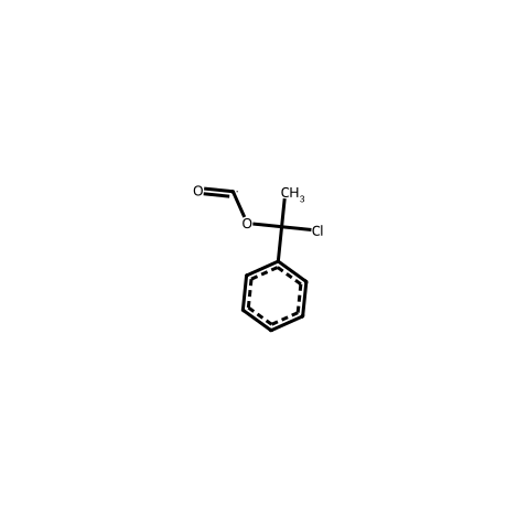 CC(Cl)(O[C]=O)c1ccccc1